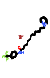 O=C(CCCCCCCCCCC[n+]1ccccc1)Nc1ccc(C(F)(F)F)cc1.[Br-]